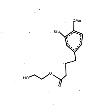 COc1ccc(CCCC(=O)OCCO)cc1C(C)(C)C